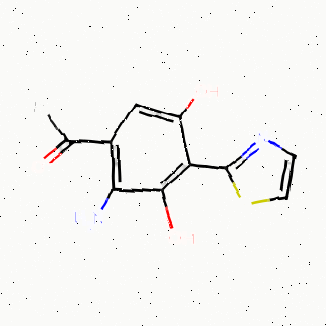 CC(C)C(=O)c1cc(O)c(-c2nccs2)c(O)c1N